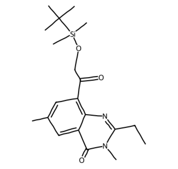 CCc1nc2c(C(=O)CO[Si](C)(C)C(C)(C)C)cc(C)cc2c(=O)n1C